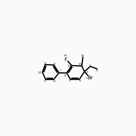 CCC1(Br)C=CC(c2ccccc2)=C(F)C1C